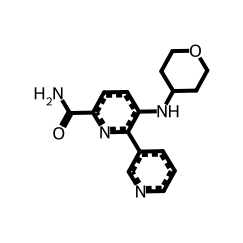 NC(=O)c1ccc(NC2CCOCC2)c(-c2cccnc2)n1